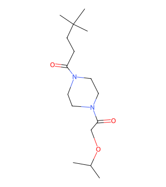 CC(C)OCC(=O)N1CCN(C(=O)CCC(C)(C)C)CC1